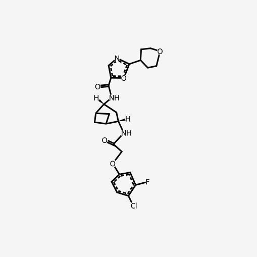 O=C(COc1ccc(Cl)c(F)c1)N[C@H]1C[C@@H](NC(=O)c2cnc(C3CCOCC3)o2)C2CC1C2